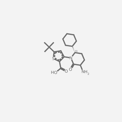 CC(C)(C)c1cc(N2C(=O)C(N)CC[C@H]2C2CCCCC2)c(C(=O)O)s1